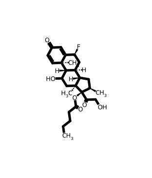 CCCCC(=O)O[C@]1(C(=O)CO)[C@H](C)C[C@H]2[C@@H]3C[C@H](F)C4=CC(=O)C=C[C@]4(C)[C@H]3C(O)C[C@@]21C